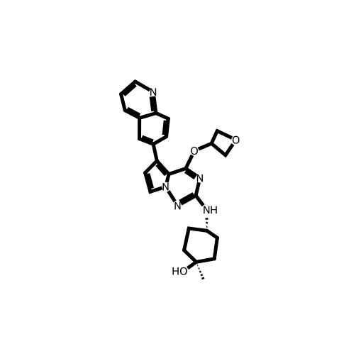 C[C@]1(O)CC[C@H](Nc2nc(OC3COC3)c3c(-c4ccc5ncccc5c4)ccn3n2)CC1